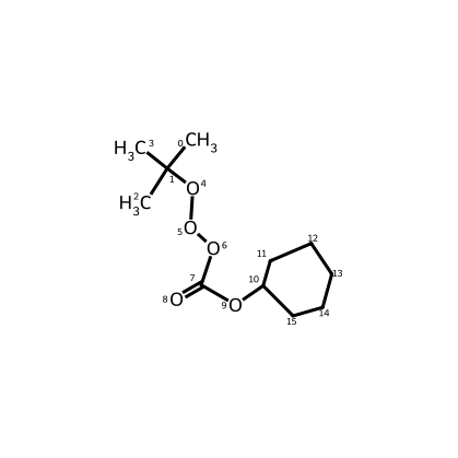 CC(C)(C)OOOC(=O)OC1CCCCC1